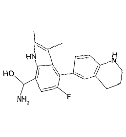 Cc1[nH]c2c(C(N)O)cc(F)c(-c3ccc4c(c3)CCCN4)c2c1C